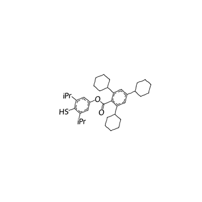 CC(C)c1cc(OC(=O)c2c(C3CCCCC3)cc(C3CCCCC3)cc2C2CCCCC2)cc(C(C)C)c1S